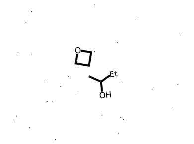 C1COC1.CCC(C)O